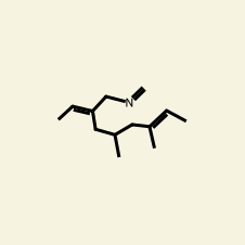 C=NC/C(=C/C)CC(C)C/C(C)=C/C